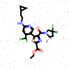 CCOC(=O)c1nc(C(=O)N2CC(F)(F)C[C@@H]2C)c(-c2cnc(NCCC3CC3)cc2C(F)F)s1